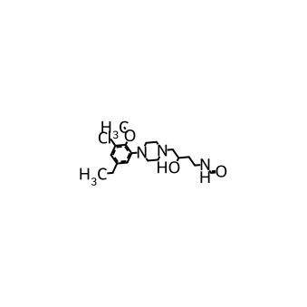 CCc1cc(Cl)c(OC)c(N2CCN(CC(O)CCNC=O)CC2)c1